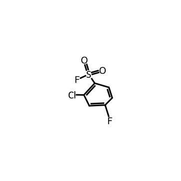 O=S(=O)(F)c1ccc(F)cc1Cl